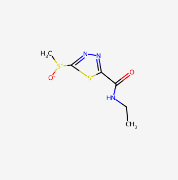 CCNC(=O)c1nnc([S+](C)[O-])s1